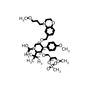 COCCCN1CCOc2ccc(CO[C@H]3CN(C(=O)O)C(C(C)(C)C)[C@@H](OC[C@@H](COC)OS(C)(=O)=O)[C@@H]3c3ccc(OC)cc3)cc21